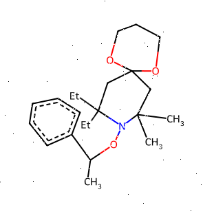 CCC1(CC)CC2(CC(C)(C)N1OC(C)c1ccccc1)OCCCO2